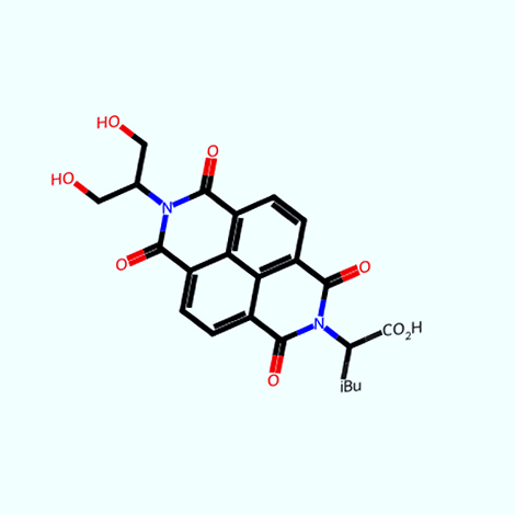 CCC(C)C(C(=O)O)N1C(=O)c2ccc3c4c(ccc(c24)C1=O)C(=O)N(C(CO)CO)C3=O